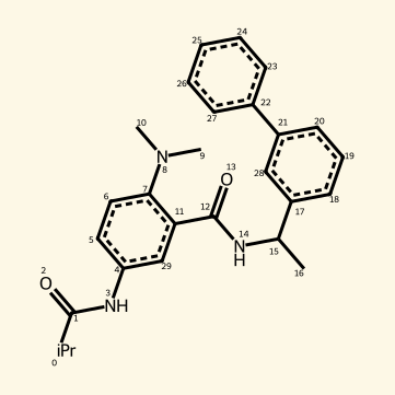 CC(C)C(=O)Nc1ccc(N(C)C)c(C(=O)NC(C)c2cccc(-c3ccccc3)c2)c1